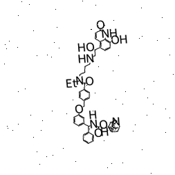 CCN(CCCCNCC(O)c1ccc(O)c2[nH]c(=O)ccc12)C(=O)c1ccc(COc2cccc(C(NC(=O)O[C@H]3CN4CCC3CC4)c3ccccc3)c2)cc1